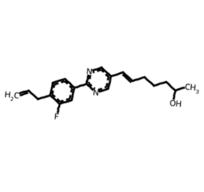 C=CCc1ccc(-c2ncc(C=CCCCC(C)O)cn2)cc1F